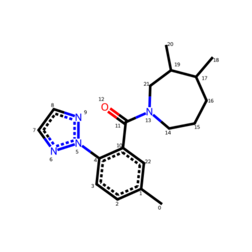 Cc1ccc(-n2nccn2)c(C(=O)N2CCCC(C)C(C)C2)c1